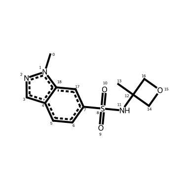 Cn1ncc2ccc(S(=O)(=O)NC3(C)COC3)cc21